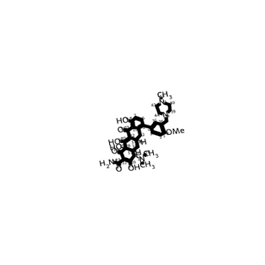 COc1ccc(-c2ccc(O)c3c2C[C@H]2C[C@H]4[C@H](N(C)C)C(O)=C(C(N)=O)C(=O)[C@@]4(O)C(O)=C2C3=O)cc1CN1CCN(C)CC1